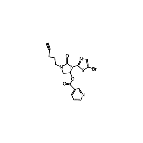 C#CCCCN1CC(OC(=O)c2cccnc2)N(c2ncc(Br)s2)C1=O